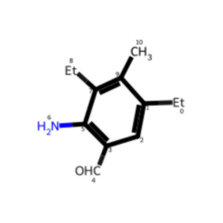 CCc1cc(C=O)c(N)c(CC)c1C